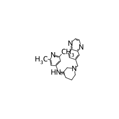 Cc1cc(N[C@@H]2CCCN(Cc3ccc4nccnc4c3)C2)cc(C)n1